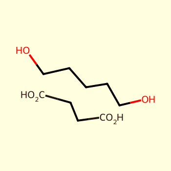 O=C(O)CCC(=O)O.OCCCCCO